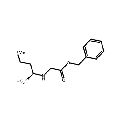 CSCC[C@@H](NCC(=O)OCc1ccccc1)C(=O)O